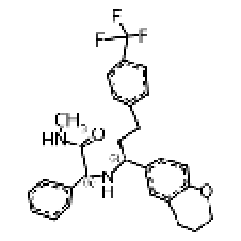 CNC(=O)[C@@H](N[C@@H](CCc1ccc(C(F)(F)F)cc1)c1ccc2c(c1)CCCO2)c1ccccc1